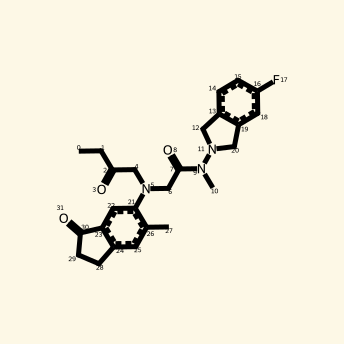 CCC(=O)CN(CC(=O)N(C)N1Cc2ccc(F)cc2C1)c1cc2c(cc1C)CCC2=O